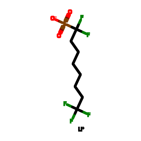 O=S(=O)([O-])C(F)(F)CCCCCCC(F)(F)F.[Li+]